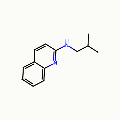 CC(C)CNc1ccc2c[c]ccc2n1